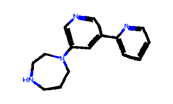 c1ccc(-c2cncc(N3CCCNCC3)c2)nc1